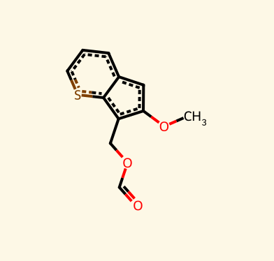 COc1cc2cccsc-2c1COC=O